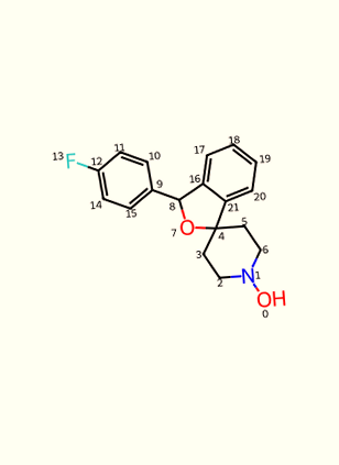 ON1CCC2(CC1)OC(c1ccc(F)cc1)c1ccccc12